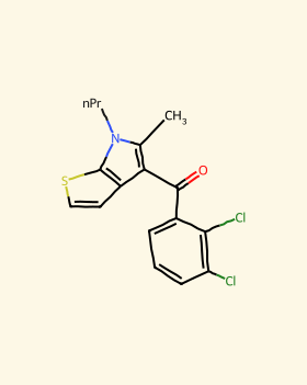 CCCn1c(C)c(C(=O)c2cccc(Cl)c2Cl)c2ccsc21